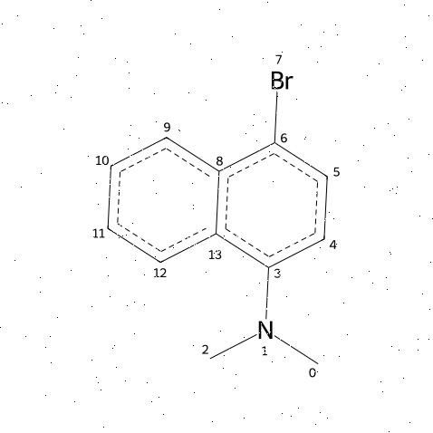 CN(C)c1ccc(Br)c2ccccc12